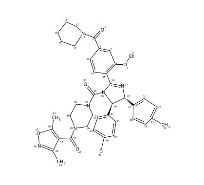 CCOc1cc(C(=O)N2CCCCC2)ccc1C1=N[C@@H](c2ccc(C)cc2)[C@@H](c2ccc(Cl)cc2)N1C(=O)N1CCN(C(=O)c2c(C)noc2C)CC1